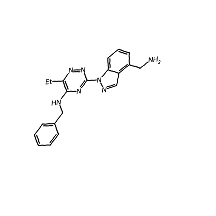 CCc1nnc(-n2ncc3c(CN)cccc32)nc1NCc1ccccc1